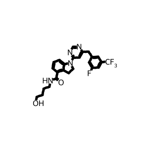 O=C(NCCCCO)c1cccc2c1CCN2c1cc(Cc2cc(F)cc(C(F)(F)F)c2)ncn1